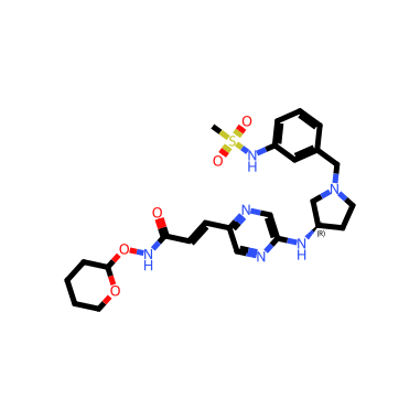 CS(=O)(=O)Nc1cccc(CN2CC[C@@H](Nc3cnc(C=CC(=O)NOC4CCCCO4)cn3)C2)c1